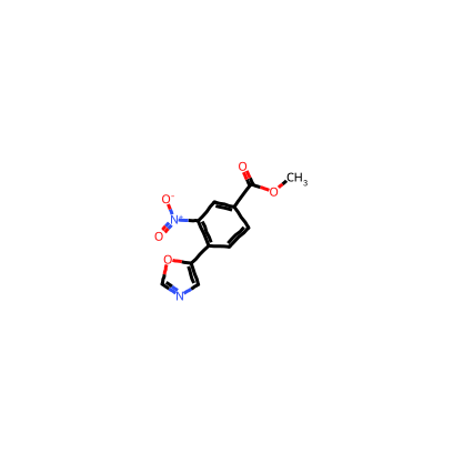 COC(=O)c1ccc(-c2cnco2)c([N+](=O)[O-])c1